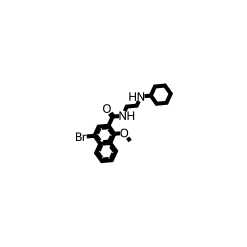 COc1c(C(=O)NCCNC2CCCCC2)cc(Br)c2ccccc12